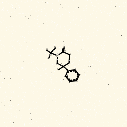 CC1(c2ccccc2)CCC(=O)N(C(C)(C)C)C1